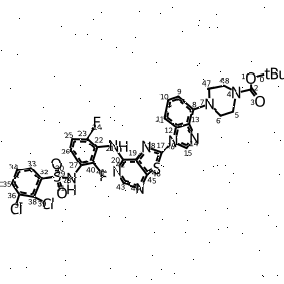 CC(C)(C)OC(=O)N1CCN(c2cccc3c2ncn3-c2nc3c(Nc4c(F)ccc(NS(=O)(=O)c5cccc(Cl)c5Cl)c4F)ncnc3s2)CC1